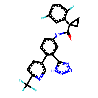 O=C(Nc1ccc(-c2ccc(C(F)(F)F)nc2)c(-c2nnn[nH]2)c1)C1(c2cc(F)ccc2F)CC1